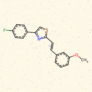 COc1cccc(/C=C/c2nc(-c3ccc(F)cc3)cs2)c1